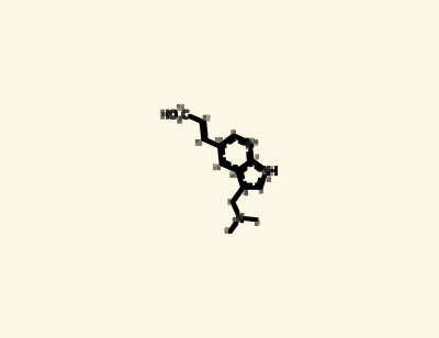 CN(C)Cc1c[nH]c2ncc(C=CC(=O)O)cc12